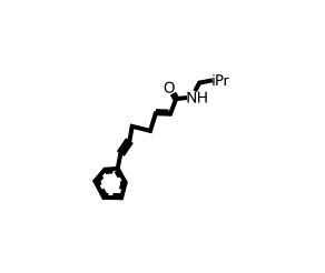 CC(C)CNC(=O)/C=C/CCC#Cc1ccccc1